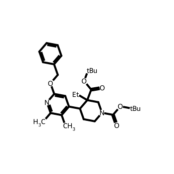 CCC1(C(=O)OC(C)(C)C)CN(C(=O)OC(C)(C)C)CCC1c1cc(OCc2ccccc2)nc(C)c1C